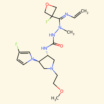 C=C/N=C(\N(C)NC(=O)N[C@@H]1CN(CCOC)C[C@H]1n1ccc(F)c1)C1(F)COC1